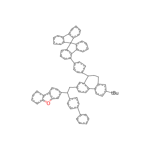 CC(C)(C)c1ccc2c(c1)CCC(c1ccc(-c3cccc4c3-c3ccccc3C43c4ccccc4-c4ccccc43)cc1)c1cc(CC(c3ccc(-c4ccccc4)cc3)c3ccc4c(c3)oc3ccccc34)ccc1-2